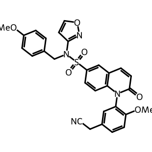 COc1ccc(CN(c2ccon2)S(=O)(=O)c2ccc3c(ccc(=O)n3-c3cc(CC#N)ccc3OC)c2)cc1